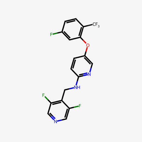 Fc1ccc(C(F)(F)F)c(Oc2ccc(NCc3c(F)cncc3F)nc2)c1